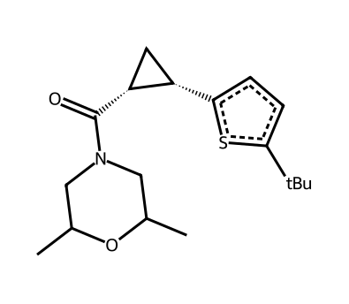 CC1CN(C(=O)[C@@H]2C[C@@H]2c2ccc(C(C)(C)C)s2)CC(C)O1